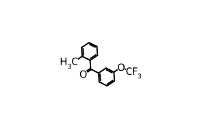 Cc1ccccc1C(=O)c1cccc(OC(F)(F)F)c1